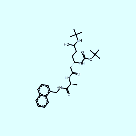 C[C@H](NC(=O)C[C@H](CCC(O)NC(C)(C)C)NC(=O)OC(C)(C)C)C(=O)NCc1cccc2ccccc12